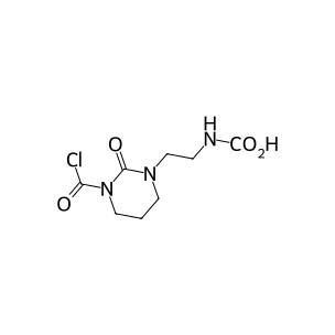 O=C(O)NCCN1CCCN(C(=O)Cl)C1=O